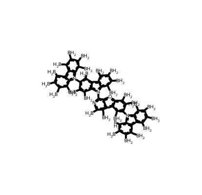 Bc1nc(-n2c3c(B)c(B)c(B)c(B)c3c3c(B)c(-n4c5c(B)c(B)c(B)c(B)c5c5c(B)c(B)c(B)c(B)c54)c(B)c(B)c32)c2oc3c(B)c(B)c(-n4c5c(B)c(B)c(B)c(B)c5c5c(B)c(B)c(B)c(B)c54)c(B)c3c2c1B